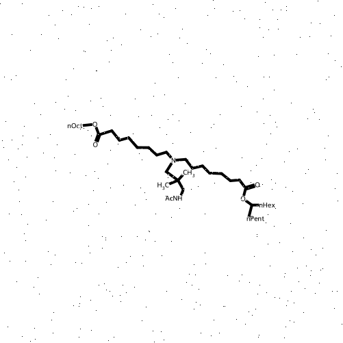 CCCCCCCCOC(=O)CCCCCCCN(CCCCCCCC(=O)OC(CCCCC)CCCCCC)CC(C)(C)CNC(C)=O